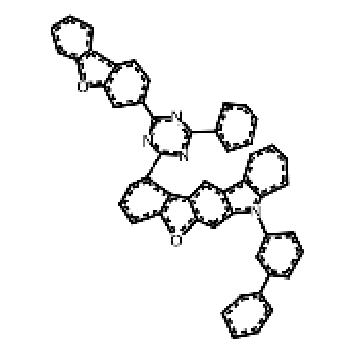 c1ccc(-c2cccc(-n3c4ccccc4c4cc5c(cc43)oc3cccc(-c4nc(-c6ccccc6)nc(-c6ccc7c(c6)oc6ccccc67)n4)c35)c2)cc1